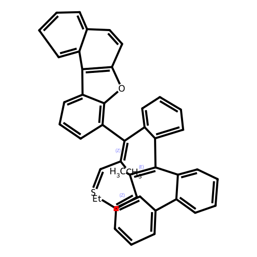 CC/C=C\C(C)=C(\c1ccccc1/C(=C(\C)C=S)c1cccc2c1oc1ccc3ccccc3c12)c1ccccc1-c1ccccc1